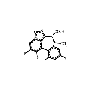 O=C(O)N(CC(Cl)(Cl)Cl)c1noc2cc(F)c(F)c(-c3c(F)cc(F)cc3F)c12